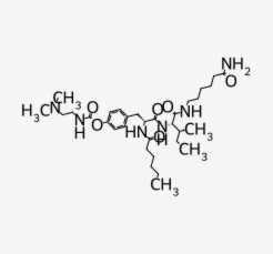 CCCCCC(=O)N[C@@H](Cc1ccc(OC(=O)NCCN(C)C)cc1)C(=O)N[C@H](C(=O)NCCCCCC(N)=O)[C@@H](C)CC